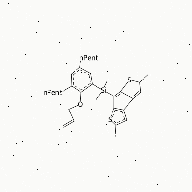 C=CCOc1c(CCCCC)cc(CCCCC)cc1[Si](C)(C)C1=C2SC(C)C=C2c2cc(C)sc21